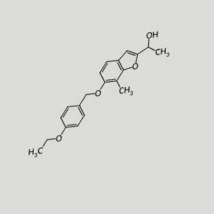 CCOc1ccc(COc2ccc3cc(C(C)O)oc3c2C)cc1